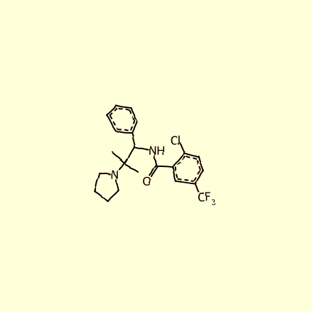 CC(C)(C(NC(=O)c1cc(C(F)(F)F)ccc1Cl)c1ccccc1)N1CCCC1